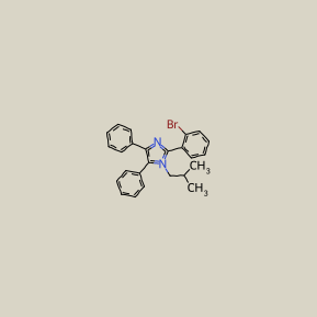 CC(C)Cn1c(-c2ccccc2Br)nc(-c2ccccc2)c1-c1ccccc1